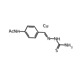 CC(=O)Nc1ccc(C=NNC(N)=S)cc1.[Cu]